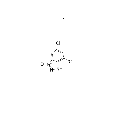 [O-][n+]1n[nH]c2c(Cl)cc(Cl)cc21